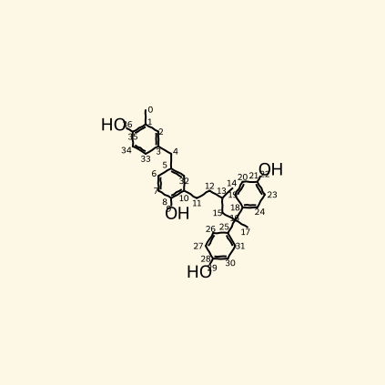 Cc1cc(Cc2ccc(O)c(CCC(C)CC(C)(c3ccc(O)cc3)c3ccc(O)cc3)c2)ccc1O